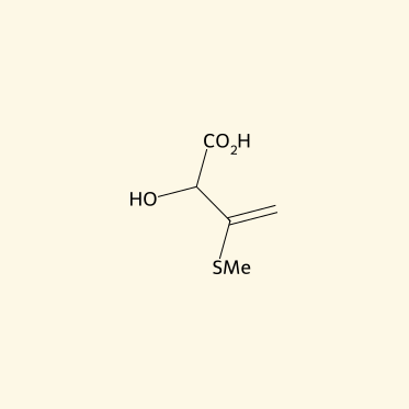 C=C(SC)C(O)C(=O)O